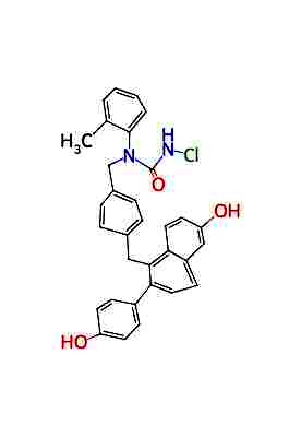 Cc1ccccc1N(Cc1ccc(Cc2c(-c3ccc(O)cc3)ccc3cc(O)ccc23)cc1)C(=O)NCl